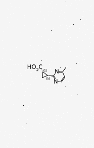 Cc1ccnc([C@H]2C[C@@H]2C(=O)O)n1